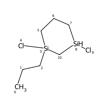 CCC[Si]1(Cl)CCC[SiH](Cl)C1